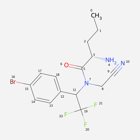 CCC[C@H](N)C(=O)N(CC#N)C(c1ccc(Br)cc1)C(F)(F)F